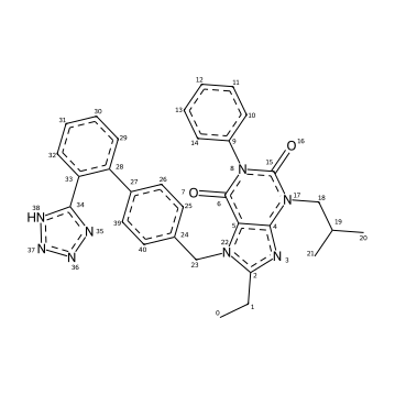 CCc1nc2c(c(=O)n(-c3ccccc3)c(=O)n2CC(C)C)n1Cc1ccc(-c2ccccc2-c2nnn[nH]2)cc1